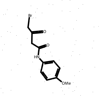 COc1ccc(NC(=O)CC(=O)CBr)cc1